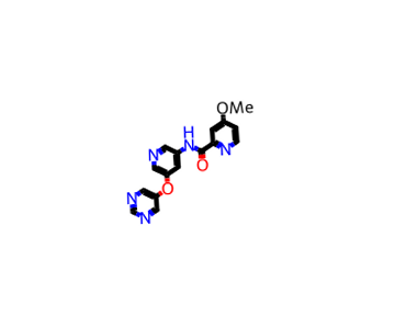 COc1ccnc(C(=O)Nc2cncc(Oc3cncnc3)c2)c1